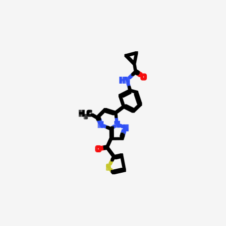 Cc1cc(-c2cccc(NC(=O)C3CC3)c2)n2ncc(C(=O)c3cccs3)c2n1